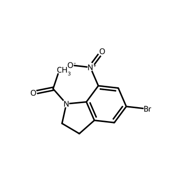 CC(=O)N1CCc2cc(Br)cc([N+](=O)[O-])c21